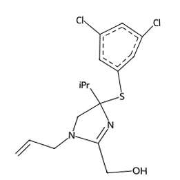 C=CCN1CC(Sc2cc(Cl)cc(Cl)c2)(C(C)C)N=C1CO